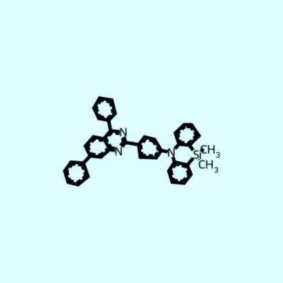 C[Si]1(C)c2ccccc2N(c2ccc(-c3nc(-c4ccccc4)c4ccc(-c5ccccc5)cc4n3)cc2)c2ccccc21